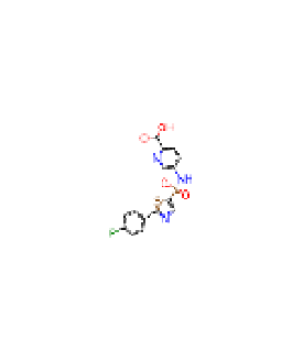 O=C(O)c1ccc(NS(=O)(=O)c2cnc(-c3ccc(F)cc3)s2)cn1